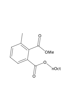 CCCCCCCCOC(=O)c1cccc(C)c1C(=O)OC